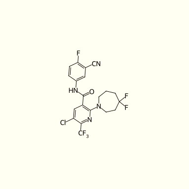 N#Cc1cc(NC(=O)c2cc(Cl)c(C(F)(F)F)nc2N2CCCC(F)(F)CC2)ccc1F